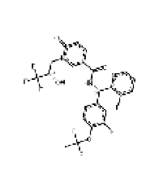 O=C(N[C@@H](c1ccc(OC(F)(F)F)c(F)c1)c1ncccc1F)c1ccc(=O)n(C[C@H](O)C(F)(F)F)c1